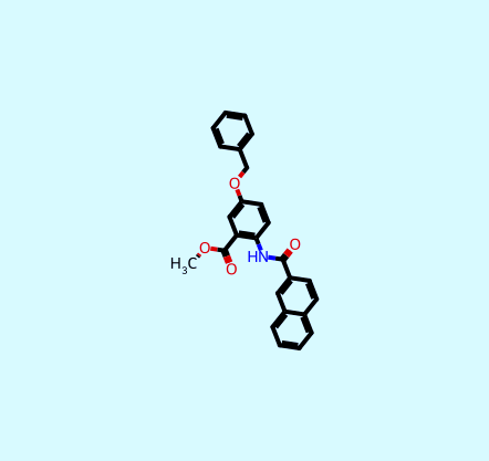 COC(=O)c1cc(OCc2ccccc2)ccc1NC(=O)c1ccc2ccccc2c1